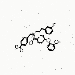 COC(=O)c1ccc(CN(CCCc2cccc(F)c2)C(=O)C2CCC(Oc3ccccc3OC)CC2)cc1